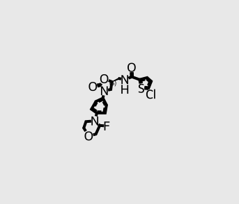 O=C(NC[C@H]1CN(c2ccc(N3CCOCC3F)cc2)C(=O)O1)c1ccc(Cl)s1